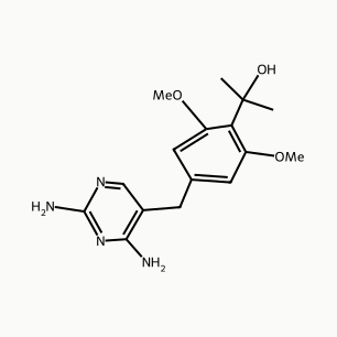 COc1cc(Cc2cnc(N)nc2N)cc(OC)c1C(C)(C)O